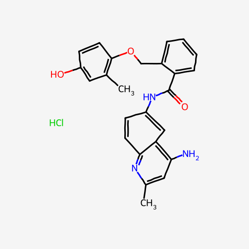 Cc1cc(N)c2cc(NC(=O)c3ccccc3COc3ccc(O)cc3C)ccc2n1.Cl